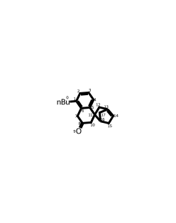 CCCCc1cccc2c1CC(=O)CC21CC2=CCC1C2